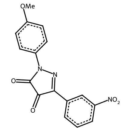 COc1ccc(N2N=C(c3cccc([N+](=O)[O-])c3)C(=O)C2=O)cc1